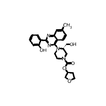 Cc1ccc2c(N3CCN(C(=O)OC4CCOC4)C[C@H]3CO)nc(-c3ccccc3O)nc2c1